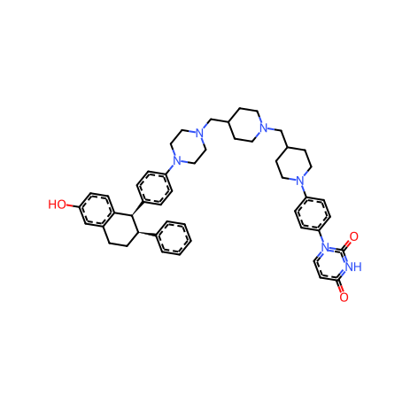 O=c1ccn(-c2ccc(N3CCC(CN4CCC(CN5CCN(c6ccc([C@@H]7c8ccc(O)cc8CC[C@@H]7c7ccccc7)cc6)CC5)CC4)CC3)cc2)c(=O)[nH]1